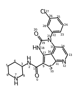 O=C(NC1CCCNC1)c1sc2nccc3c2c1NC(=O)N3c1cccc(Cl)c1